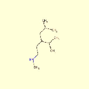 CNCCC(CC(C)C)C(C)C